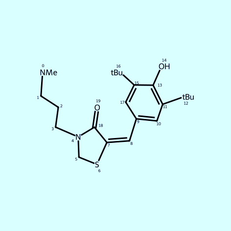 CNCCCN1CSC(=Cc2cc(C(C)(C)C)c(O)c(C(C)(C)C)c2)C1=O